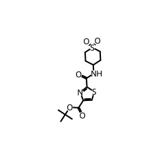 CC(C)(C)OC(=O)c1csc(C(=O)NC2CCS(=O)(=O)CC2)n1